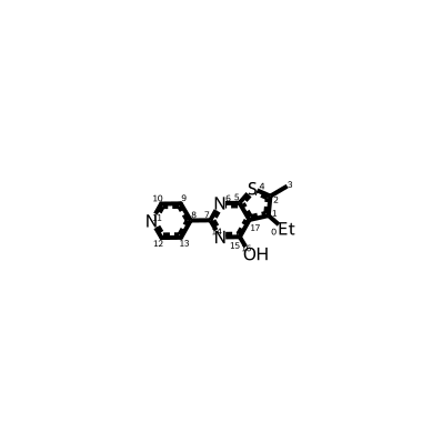 CCc1c(C)sc2nc(-c3ccncc3)nc(O)c12